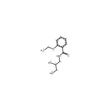 CCOc1ccccc1C(=O)NCC(O)CO